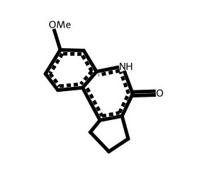 COc1ccc2c3c(c(=O)[nH]c2c1)CCC3